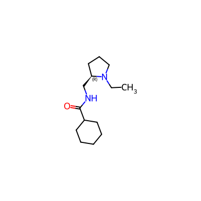 CCN1CCC[C@@H]1CNC(=O)C1CCCCC1